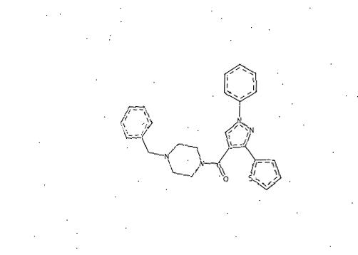 O=C(c1cn(-c2ccccc2)nc1-c1cccs1)N1CCN(Cc2ccccc2)CC1